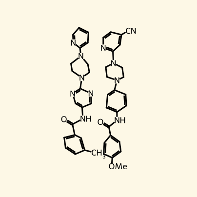 COc1ccc(C(=O)Nc2ccc(N3CCN(c4cc(C#N)ccn4)CC3)cc2)cc1.Cc1cccc(C(=O)Nc2cnc(N3CCN(c4ccccn4)CC3)nc2)c1